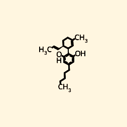 CC=C[C@H]1CCC(C)=C[C@H]1c1c(O)cc(CCCCC)cc1O